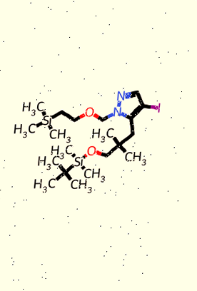 CC(C)(CO[Si](C)(C)C(C)(C)C)Cc1c(I)cnn1COCC[Si](C)(C)C